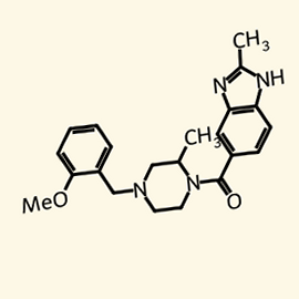 COc1ccccc1CN1CCN(C(=O)c2ccc3[nH]c(C)nc3c2)C(C)C1